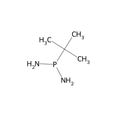 CC(C)(C)P(N)N